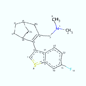 CN(C)CC1=C(c2csc3cc(F)ccc23)C2CCC(C1)C2